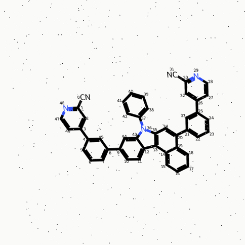 N#Cc1cc(-c2cccc(-c3ccc4c5c6ccccc6c(-c6cccc(-c7ccnc(C#N)c7)c6)cc5n(-c5ccccc5)c4c3)c2)ccn1